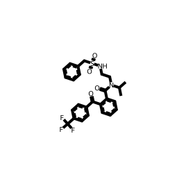 CC(C)N(CCNS(=O)(=O)Cc1ccccc1)C(=O)c1ccccc1C(=O)c1ccc(C(F)(F)F)cc1